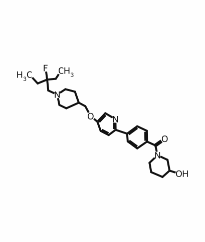 CCC(F)(CC)CN1CCC(COc2ccc(-c3ccc(C(=O)N4CCCC(O)C4)cc3)nc2)CC1